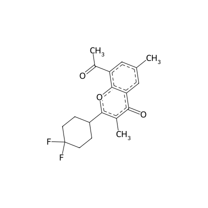 CC(=O)c1cc(C)cc2c(=O)c(C)c(C3CCC(F)(F)CC3)oc12